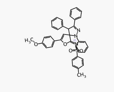 COc1ccc(C2=CC3(/C(=N/S(=O)(=O)c4ccc(C)cc4)O2)C(c2ccccc2)C(c2ccccc2)=NN3c2ccccc2)cc1